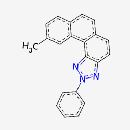 Cc1ccc2ccc3ccc4nn(-c5ccccc5)nc4c3c2c1